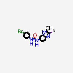 Cc1nc2cc(NC(=O)Nc3ccc(Br)cc3)ccc2nc1I